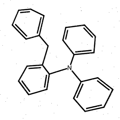 c1ccc(Cc2ccccc2N(c2ccccc2)c2ccccc2)cc1